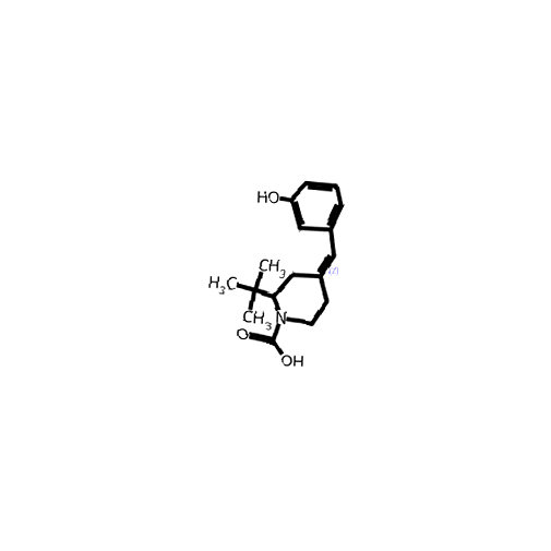 CC(C)(C)C1C/C(=C\c2cccc(O)c2)CCN1C(=O)O